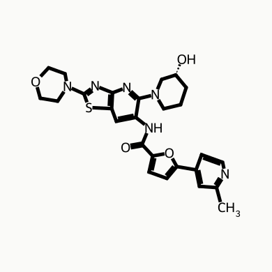 Cc1cc(-c2ccc(C(=O)Nc3cc4sc(N5CCOCC5)nc4nc3N3CCC[C@@H](O)C3)o2)ccn1